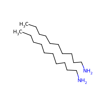 CCCCCCCCCCN.CCCCCCCCCCN